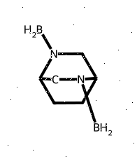 BN1CC2CCC1CN2B